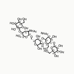 CC(=O)N[C@H]1[C@H](OC[C@H]2OC(O)[C@H](O)[C@@H](O[C@@H]3O[C@H](CO)[C@@H](O[C@@H]4O[C@H](CO)[C@H](O)[C@H](O)[C@H]4O)[C@H](O)[C@H]3NC(C)=O)[C@H]2O)O[C@H](CO)[C@@H](O[C@@H]2O[C@H](CO)[C@H](O)[C@H](O)[C@H]2O)[C@@H]1O